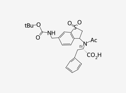 CC(=O)N(C1CS(=O)(=O)c2cc(CNC(=O)OC(C)(C)C)ccc21)[C@@H](Cc1ccccc1)C(=O)O